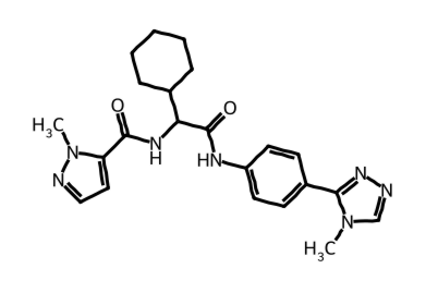 Cn1cnnc1-c1ccc(NC(=O)C(NC(=O)c2ccnn2C)C2CCCCC2)cc1